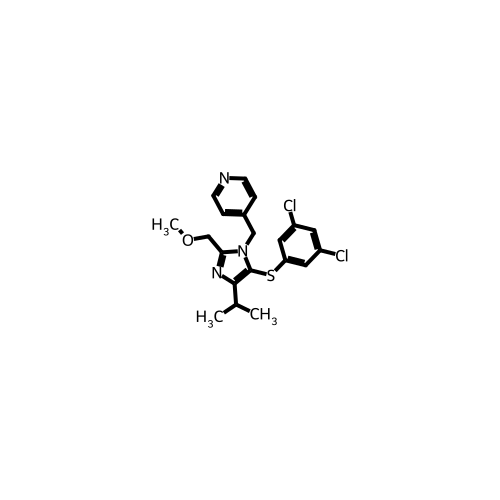 COCc1nc(C(C)C)c(Sc2cc(Cl)cc(Cl)c2)n1Cc1ccncc1